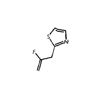 C=C(F)Cc1nccs1